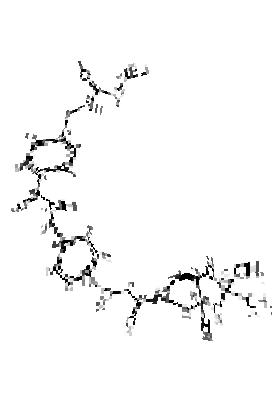 CC(C)(C)OC(=O)NCc1ccc(C(=O)NCc2ccc(OCC(=O)N3C=C4OC(C)(C)O[C@@H]4C3)cc2)cc1